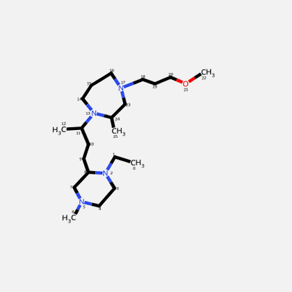 CCN1CCN(C)CC1CCC(C)N1CCCN(CCCOC)CC1C